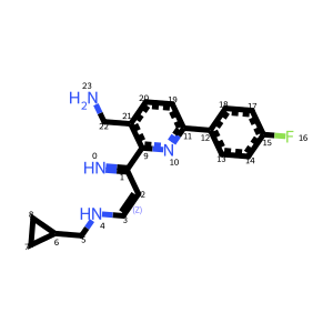 N=C(/C=C\NCC1CC1)c1nc(-c2ccc(F)cc2)ccc1CN